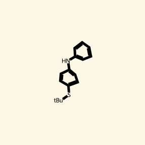 CC(C)(C)Sc1ccc(Nc2ccccc2)cc1